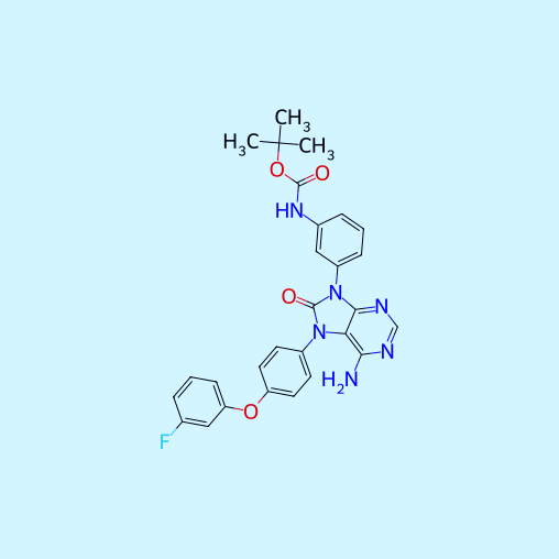 CC(C)(C)OC(=O)Nc1cccc(-n2c(=O)n(-c3ccc(Oc4cccc(F)c4)cc3)c3c(N)ncnc32)c1